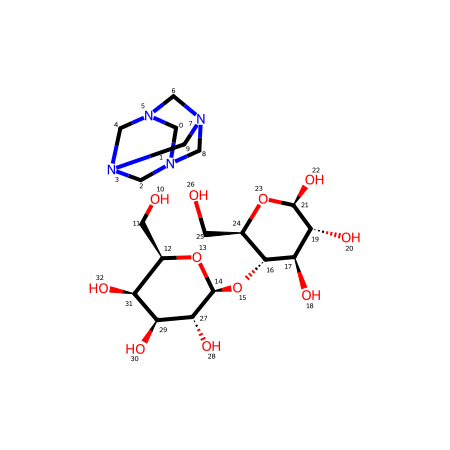 C1N2CN3CN1CN(C2)C3.OC[C@H]1O[C@@H](O[C@H]2[C@H](O)[C@@H](O)[C@H](O)O[C@@H]2CO)[C@H](O)[C@@H](O)[C@H]1O